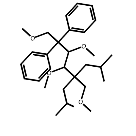 COCC(CC(C)C)(CC(C)C)C(OC)C(OC)C(COC)(c1ccccc1)c1ccccc1